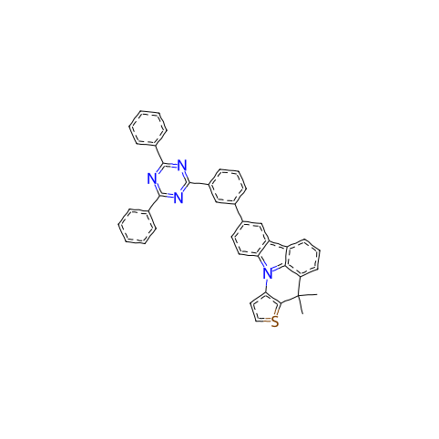 CC1(C)c2sccc2-n2c3ccc(-c4cccc(-c5nc(-c6ccccc6)nc(-c6ccccc6)n5)c4)cc3c3cccc1c32